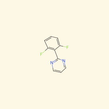 Fc1cccc(F)c1-c1ncccn1